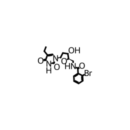 CCc1cn([C@H]2C[C@H](O)[C@@H](CNC(=O)c3ccccc3Br)O2)c(=O)[nH]c1=O